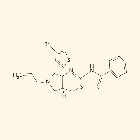 C=CCN1C[C@H]2CSC(NC(=O)c3ccccc3)=NC2(c2cc(Br)cs2)C1